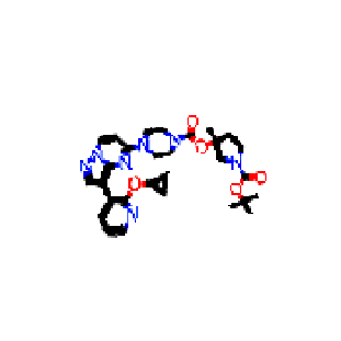 CC(C)(C)OC(=O)N1CCC(C)(OC(=O)N2CCN(c3ccn4ncc(-c5cccnc5OC5CC5)c4n3)CC2)C1